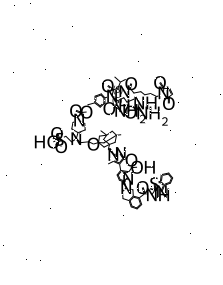 Cc1c(-c2ccc(N3CCc4cccc(C(=O)Nc5nc6ccccc6s5)c4C3)nc2C(=O)O)cnn1CC12CC3(C)CC(C)(C1)CC(OCCN(CCS(=O)(=O)O)C1CCN(C(=O)OCc4ccc(N(C(=O)[C@@H](NC(=O)CCCCCN5C(=O)C=CC5=O)C(C)C)[C@@H](CCCNC(N)=O)C(N)=O)cc4)CC1)(C3)C2